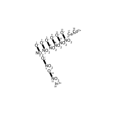 O=[N+]([O-])[O-].O=[N+]([O-])[O-].O=[N+]([O-])[O-].O=[N+]([O-])[O-].O=[N+]([O-])[O-].O=[N+]([O-])[O-].O=[N+]([O-])[O-].O=[N+]([O-])[O-].[Cd+2].[Ga+3].[In+3]